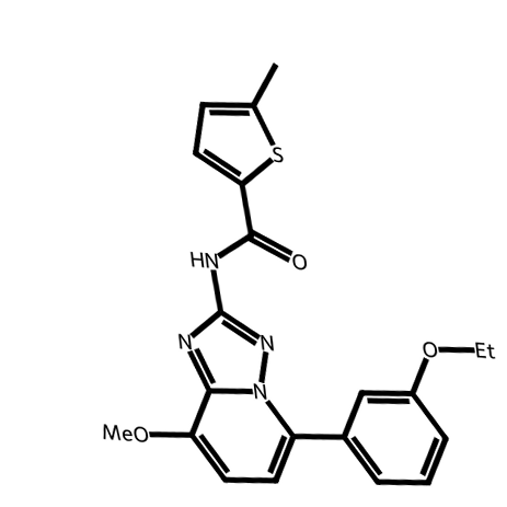 CCOc1cccc(-c2ccc(OC)c3nc(NC(=O)c4ccc(C)s4)nn23)c1